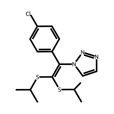 CC(C)SC(SC(C)C)=C(c1ccc(Cl)cc1)n1ccnn1